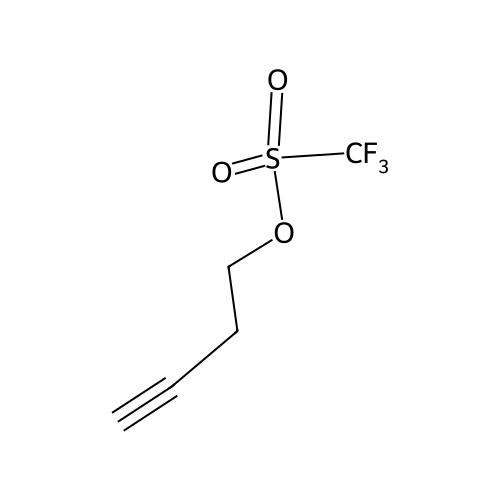 C#CCCOS(=O)(=O)C(F)(F)F